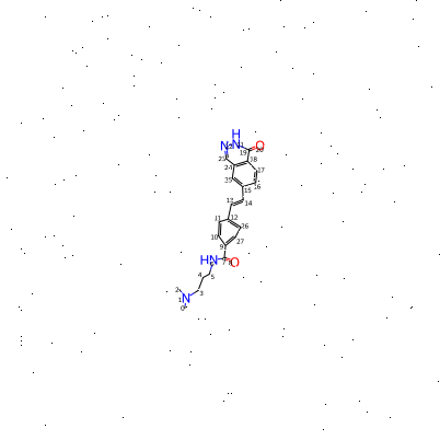 CN(C)CCCNC(=O)c1ccc(C=Cc2ccc3c(=O)[nH]ncc3c2)cc1